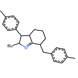 CCC(C)C1N=C2C(Cc3ccc(C)cc3)CCCC2C1c1ccc(C)cc1